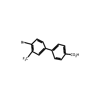 O=C(O)c1ccc(-c2ccc(Br)c(C(F)(F)F)c2)cc1